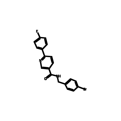 O=C(NCc1ccc(Br)cc1)c1ccc(-c2ccc(F)cc2)nc1